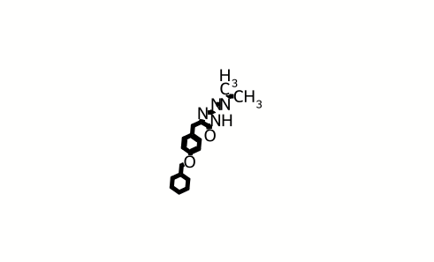 CC(C)=NN=C1N=C(Cc2ccc(OCC3CCCCC3)cc2)C(=O)N1